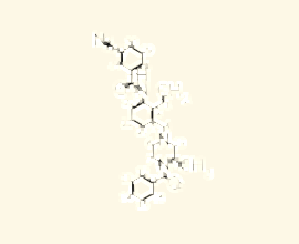 C=Cc1c(CN2CCN(C(=O)c3ccccc3)[C@@H](C)C2)cccc1NC(=O)c1cccc(C#N)c1